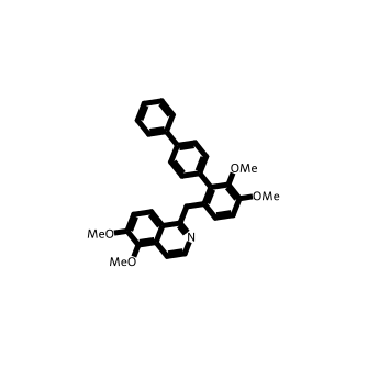 COc1ccc(Cc2nccc3c(OC)c(OC)ccc23)c(-c2ccc(-c3ccccc3)cc2)c1OC